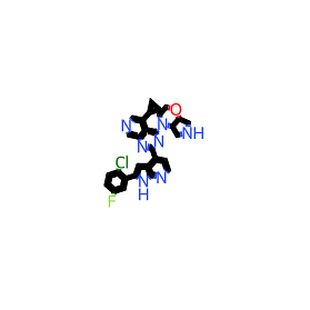 Fc1ccc(Cl)c(-c2cc3c(-c4nc(N5CCOC6CNCC65)c5c(C6CC6)cncc5n4)ccnc3[nH]2)c1